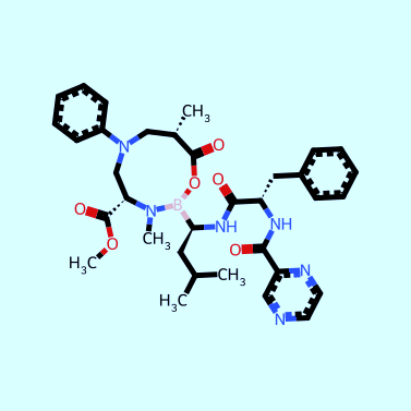 COC(=O)[C@@H]1CN(c2ccccc2)C[C@H](C)C(=O)OB([C@H](CC(C)C)NC(=O)[C@H](Cc2ccccc2)NC(=O)c2cnccn2)N1C